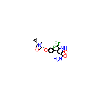 CN1[C@H](COc2ccc(-c3cc(C(N)=O)c(=O)[nH]c3C(F)(F)F)cc2)COC[C@@H]1C1CC1